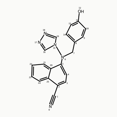 N#Cc1ccc(N(Cc2ccc(O)cc2)n2cnnc2)c2ccccc12